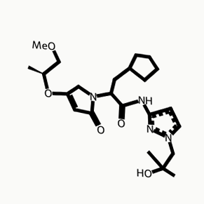 COC[C@H](C)OC1=CC(=O)N(C(CC2CCCC2)C(=O)Nc2ccn(CC(C)(C)O)n2)C1